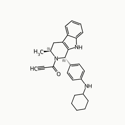 C#CC(=O)N1[C@@H](c2ccc(NC3CCCCC3)cc2)c2[nH]c3ccccc3c2C[C@@H]1C